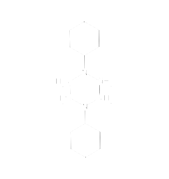 C1CCC(N2[SiH2][SiH2]N(C3CCCCC3)[SiH2][SiH2]2)CC1